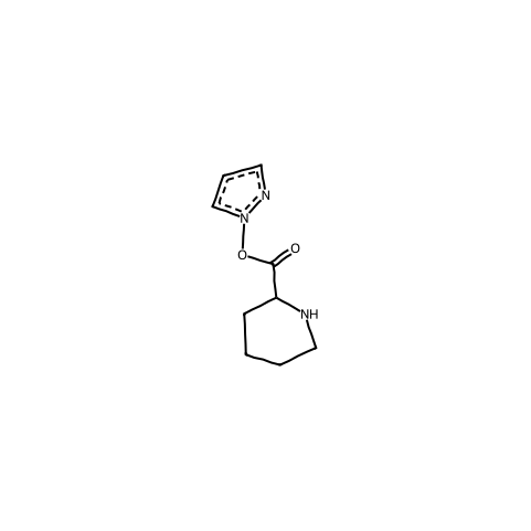 O=C(On1cccn1)C1CCCCN1